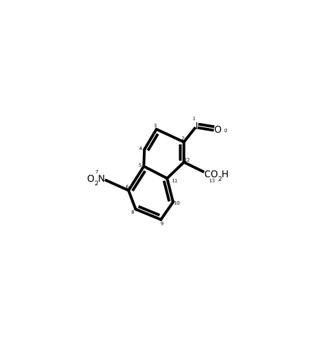 O=Ic1ccc2c([N+](=O)[O-])cccc2c1C(=O)O